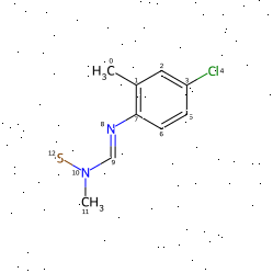 Cc1cc(Cl)ccc1N=CN(C)[S]